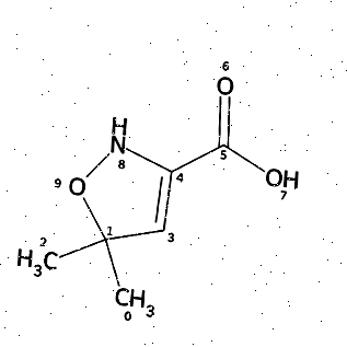 CC1(C)C=C(C(=O)O)NO1